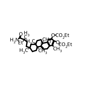 CCOC(=O)Oc1cc2c(c(C)c1OC(=O)OCC)CC=C1[C@@]2(C)CC[C@@]2(C)C[C@](C)(CC[C@](C)(CC)C(N)=O)CC[C@]12C